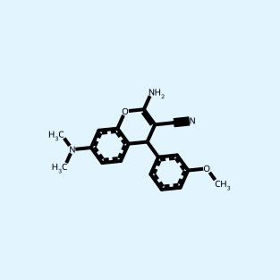 COc1cccc(C2C(C#N)=C(N)Oc3cc(N(C)C)ccc32)c1